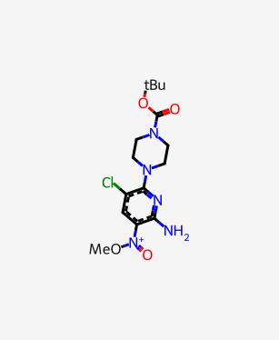 CO[N+](=O)c1cc(Cl)c(N2CCN(C(=O)OC(C)(C)C)CC2)nc1N